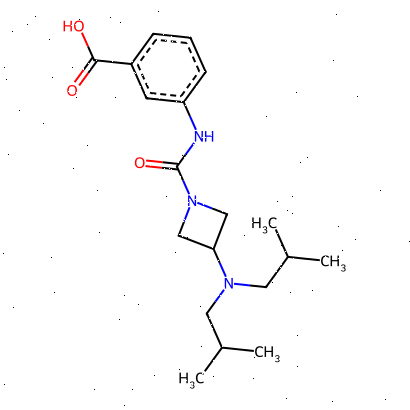 CC(C)CN(CC(C)C)C1CN(C(=O)Nc2cccc(C(=O)O)c2)C1